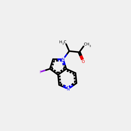 CC(=O)C(C)n1cc(I)c2cnccc21